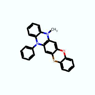 Cn1c2ccccc2n(-c2ccccc2)c2cc3sc4ccccc4oc3cc21